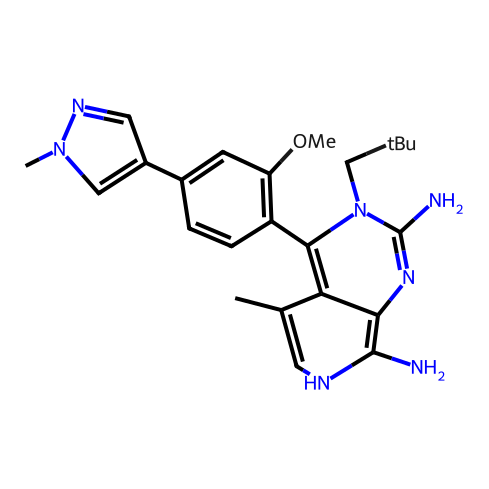 COc1cc(-c2cnn(C)c2)ccc1C1=C2C(C)=CNC(N)=C2N=C(N)N1CC(C)(C)C